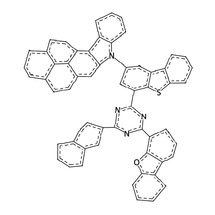 c1ccc2cc(-c3nc(-c4cccc5c4oc4ccccc45)nc(-c4cc(-n5c6ccccc6c6c7ccc8cccc9ccc(cc65)c7c98)cc5c4sc4ccccc45)n3)ccc2c1